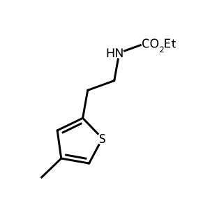 CCOC(=O)NCCc1cc(C)cs1